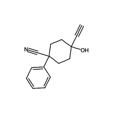 C#CC1(O)CCC(C#N)(c2ccccc2)CC1